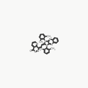 Cc1cccc(C)c1N1C(=C/C=C2/N=NC(=O)c3cccnc32)N(c2c(C)cccc2C)c2nc3ccccc3nc21